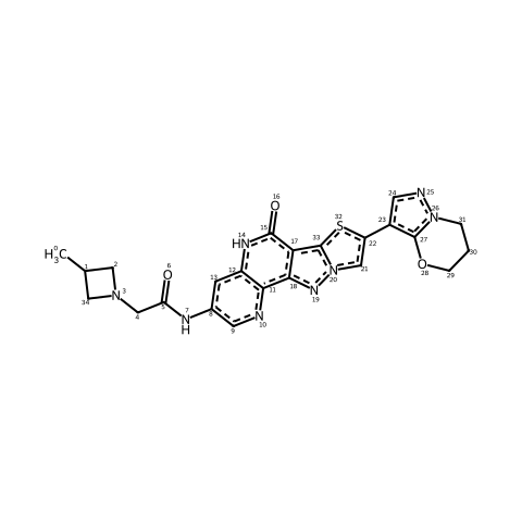 CC1CN(CC(=O)Nc2cnc3c(c2)[nH]c(=O)c2c3nn3cc(-c4cnn5c4OCCC5)sc23)C1